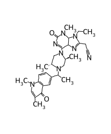 CCN1C(CC#N)=NC2C(N3C[C@@H](C)N(C(C)c4ccc5c(c4)c(=O)c(C)cn5C)C[C@@H]3C)=NC(=O)N(C)C21